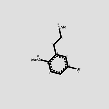 CNCCc1cc(Br)ccc1OC